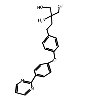 NC(CO)(CO)CCc1ccc(Oc2ccc(-c3ncccn3)cc2)cc1